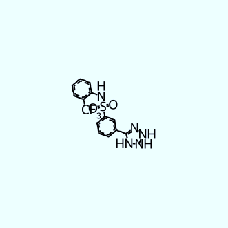 O=S(=O)(Nc1ccccc1C(F)(F)F)c1cccc(C2=NNNN2)c1